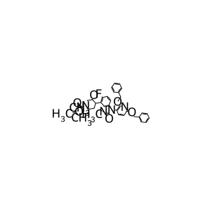 Cn1c(=O)n(-c2ccc(OCc3ccccc3)nc2OCc2ccccc2)c2ccc(F)c(C3CCN(C(=O)OC(C)(C)C)CC3=O)c21